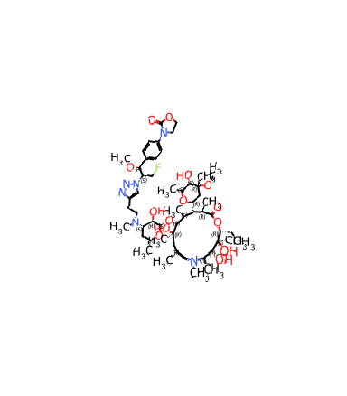 CC[C@H]1OC(=O)[C@H](C)C([C@H]2C[C@@](C)(OC)[C@@H](O)[C@H](C)O2)[C@H](C)[C@@H](O[C@@H]2O[C@H](C)C[C@H](N(C)CCc3cn([C@H](CF)[C@H](OC)c4ccc(N5CCOC5=O)cc4)nn3)[C@H]2O)[C@](C)(O)C[C@@H](C)CN(C)[C@H](C)[C@@H](O)[C@]1(C)O